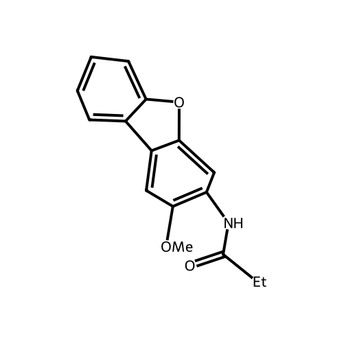 CCC(=O)Nc1cc2oc3ccccc3c2cc1OC